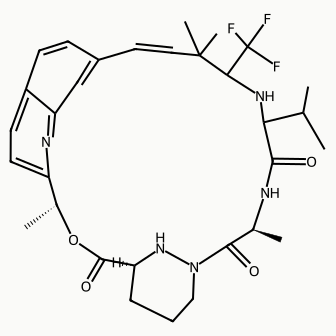 CC(C)C1NC(C(F)(F)F)C(C)(C)/C=C/c2ccc3ccc(nc3c2)[C@@H](C)OC(=O)[C@@H]2CCCN(N2)C(=O)[C@H](C)NC1=O